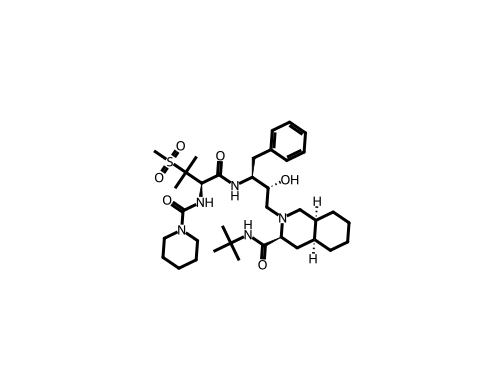 CC(C)(C)NC(=O)[C@@H]1C[C@@H]2CCCC[C@@H]2CN1C[C@@H](O)[C@H](Cc1ccccc1)NC(=O)[C@@H](NC(=O)N1CCCCC1)C(C)(C)S(C)(=O)=O